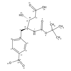 CC(C)(C)OC(=O)N[C@@H](Cc1ccc([N+](=O)[O-])cc1)[C@H](O)CC(=O)O